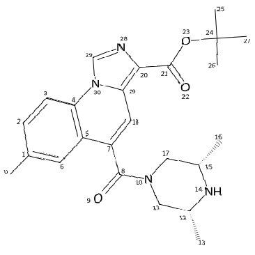 Cc1ccc2c(c1)c(C(=O)N1C[C@@H](C)N[C@@H](C)C1)cc1c(C(=O)OC(C)(C)C)ncn12